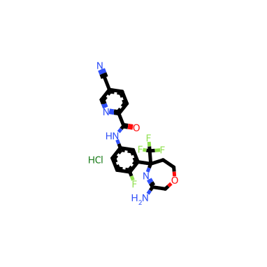 Cl.N#Cc1ccc(C(=O)Nc2ccc(F)c(C3(C(F)(F)F)CCOCC(N)=N3)c2)nc1